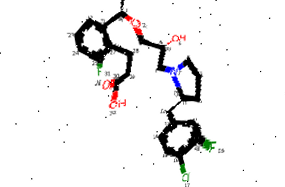 C[C@@H](OC[C@H](O)CN1CCC[C@H]1Cc1ccc(Cl)c(F)c1)c1cccc(F)c1CCC(=O)O